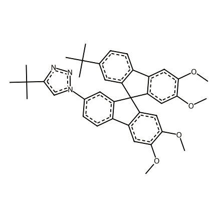 COc1cc2c(cc1OC)C1(c3cc(-n4cc(C(C)(C)C)nn4)ccc3-2)c2cc(C(C)(C)C)ccc2-c2cc(OC)c(OC)cc21